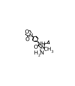 CN(CC1CC1)[C@@H](CN)C(=O)Nc1ccc(N2CCOCC2=O)cc1